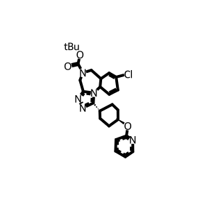 CC(C)(C)OC(=O)N1Cc2nnc([C@H]3CC[C@H](Oc4ccccn4)CC3)n2C2C=CC(Cl)=CC2C1